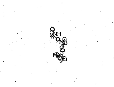 CCOC(=O)C(Cc1ccc(OCC2CN(c3ccc(C4=NOC(c5ccccc5)N4)cc3)C(=O)O2)cc1)NS(C)(=O)=O